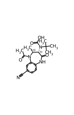 CC(=O)N1c2cc(C#N)ccc2NC(=O)[C@@H](N(C(=O)O)C(C)(C)C)[C@@H]1C